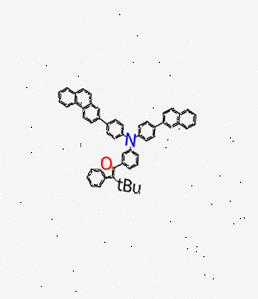 CC(C)(C)c1c(-c2cccc(N(c3ccc(-c4ccc5ccccc5c4)cc3)c3ccc(-c4ccc5c(ccc6ccccc65)c4)cc3)c2)oc2ccccc12